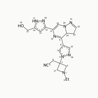 CCN1CC(CC#N)(n2cc(C3=NC(c4cc(CO)[nH]n4)=CN4N=CCC34)cn2)C1